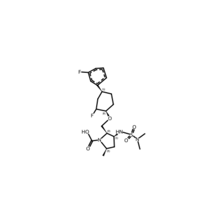 C[C@@H]1C[C@H](NS(=O)(=O)N(C)C)[C@H](CO[C@@H]2CC[C@H](c3cccc(F)c3)CC2F)N1C(=O)O